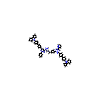 C=N/C(=C\C=C(/C)c1ccc(-c2nc(-c3ccc(-c4ccc(-n5c6ccccc6c6ccccc65)cc4)cc3)nc(-c3ccccn3)n2)cc1)c1cc(-c2ccc(-c3ccc(-n4c5ccccc5c5ccccc54)cc3)cc2)nc(-c2ccccc2)n1